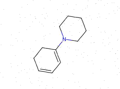 C1=CCCC(N2CCCCC2)=C1